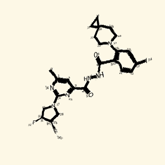 Cc1cc(C(=O)NNC(=O)c2ccc(I)cc2N2CCC3(CC2)CC3)nc(N2C[C@@H](F)[C@@H](F)C2)n1